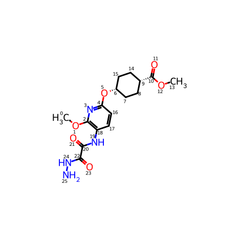 COc1nc(O[C@H]2CC[C@@H](C(=O)OC)CC2)ccc1NC(=O)C(=O)NN